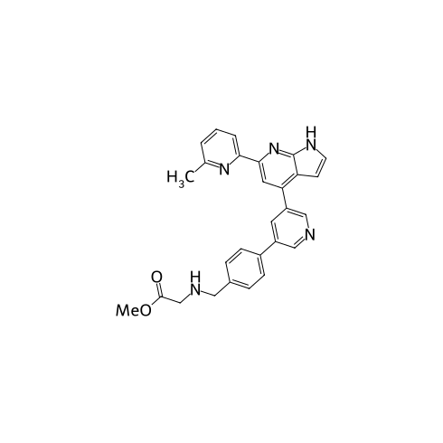 COC(=O)CNCc1ccc(-c2cncc(-c3cc(-c4cccc(C)n4)nc4[nH]ccc34)c2)cc1